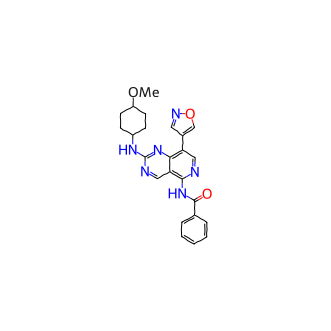 COC1CCC(Nc2ncc3c(NC(=O)c4ccccc4)ncc(-c4cnoc4)c3n2)CC1